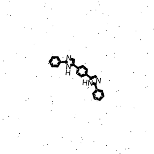 c1ccc(-c2ncc(-c3ccc(-c4cnc(-c5ccccc5)[nH]4)cc3)[nH]2)cc1